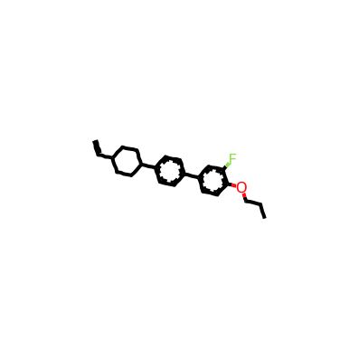 C=CC1CCC(c2ccc(-c3ccc(OCCC)c(F)c3)cc2)CC1